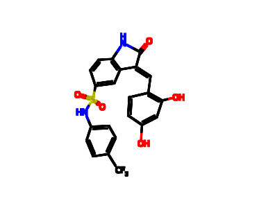 O=C1Nc2ccc(S(=O)(=O)Nc3ccc(C(F)(F)F)cc3)cc2C1=Cc1ccc(O)cc1O